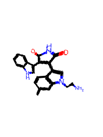 Cc1ccc2c(C3=C(c4c[nH]c5ccccc45)C(=O)NC3=O)cn(CCN)c2c1